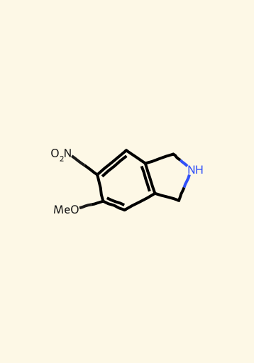 COc1cc2c(cc1[N+](=O)[O-])CNC2